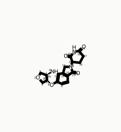 N[C@@H]1COC[C@@H]1Oc1ccc2c(c1)CN(C1CCC(=O)NC1=O)C2=O